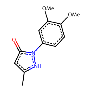 COc1ccc(-n2[nH]c(C)cc2=O)cc1OC